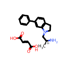 C[C@H](N)CN1CCc2ccc(-c3ccccc3)cc21.O=C(O)C=CC(=O)O